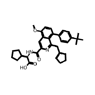 COc1ccc(-c2ccc(C(C)(C)C)cc2)c2c(CC3CCCC3)nc(C(=O)N[C@@H](C(=O)O)C3CCCC3)cc12